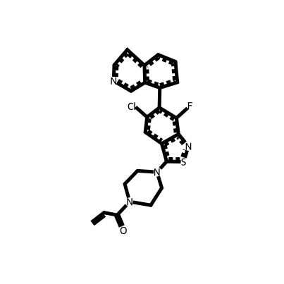 C=CC(=O)N1CCN(c2snc3c(F)c(-c4cccc5ccncc45)c(Cl)cc23)CC1